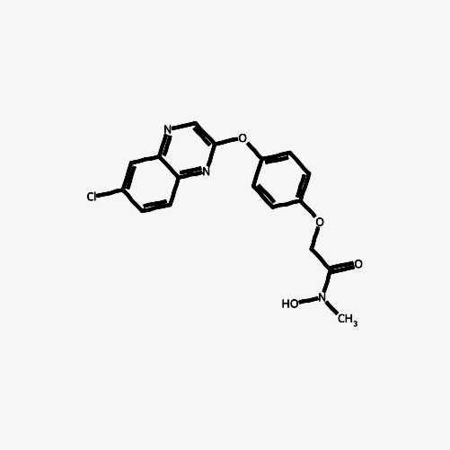 CN(O)C(=O)COc1ccc(Oc2cnc3cc(Cl)ccc3n2)cc1